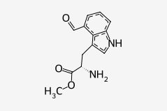 COC(=O)[C@@H](N)Cc1c[nH]c2cccc(C=O)c12